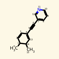 CC1C=CC(C#Cc2cccnc2)=CC1C